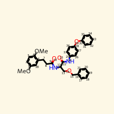 COc1ccc(OC)c(CCC(=O)NC(COCc2ccccc2)C(=O)Nc2ccc(Oc3ccccc3)cc2)c1